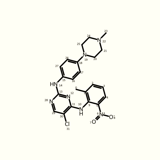 Cc1cccc([N+](=O)[O-])c1Nc1nc(Nc2ccc(N3CCN(C)CC3)cc2)ncc1Cl